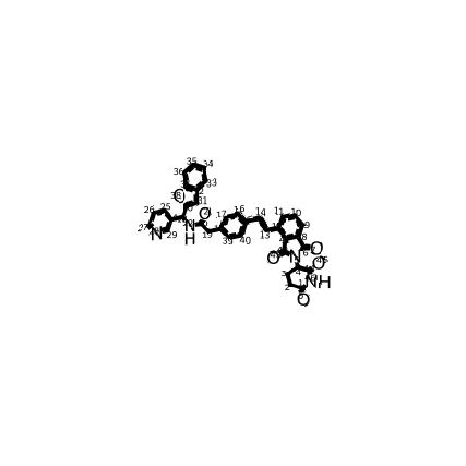 O=C1CCC(N2C(=O)c3cccc(/C=C/c4ccc(CC(=O)NC(c5cccnc5)c5cc6ccccc6o5)cc4)c3C2=O)C(=O)N1